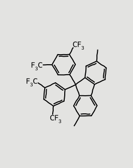 Cc1ccc2c(c1)C(c1cc(C(F)(F)F)cc(C(F)(F)F)c1)(c1cc(C(F)(F)F)cc(C(F)(F)F)c1)c1cc(C)ccc1-2